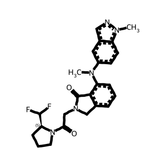 CN(c1ccc2c(cnn2C)c1)c1cccc2c1C(=O)N(CC(=O)N1CCC[C@H]1C(F)F)C2